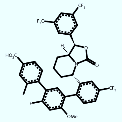 COc1cc(F)c(-c2ccc(C(=O)O)cc2C)cc1-c1ccc(C(F)(F)F)cc1[C@@H]1CCC[C@H]2[C@@H](c3cc(C(F)(F)F)cc(C(F)(F)F)c3)OC(=O)N12